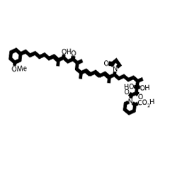 COC1CCCC(CCCCCC/C=C(\C)C(O)CC(=O)C(C)CC(C)/C=C/C=C/C=C(\C)C(CCCCC(C)C(O)(O)C(=O)C(=O)N2CCCCC2C(=O)O)N2CCC2=O)C1